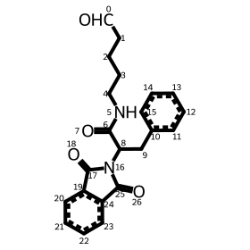 O=CCCCCNC(=O)C(Cc1ccccc1)N1C(=O)c2ccccc2C1=O